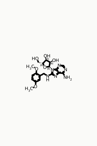 COc1ccc(OC)c(CNc2nc3c(N)ncnc3n2[C@@H]2O[C@H](CO)[C@@H](O)[C@H]2O)c1